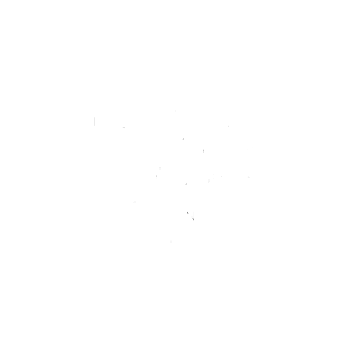 Fc1ccc(-c2ccco2)cc1.c1ccncc1